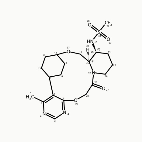 Cc1ncnc2c1C1CCC(CC1)OC[C@H]1[C@@H](NS(=O)(=O)C(F)(F)F)CCCN1C(=O)CO2